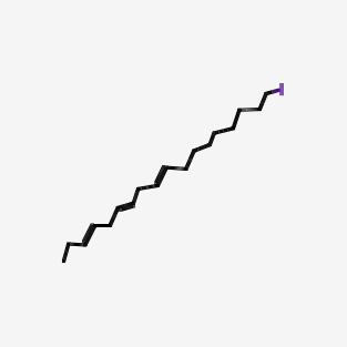 CCC=CCC=CCC=CCCCCCCCCI